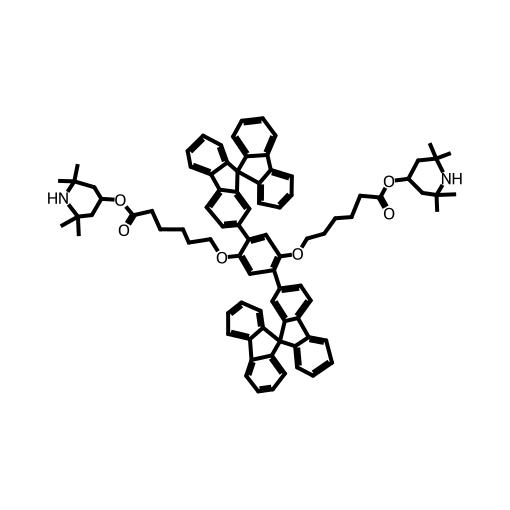 CC1(C)CC(OC(=O)CCCCCOc2cc(-c3ccc4c(c3)C3(c5ccccc5-c5ccccc53)c3ccccc3-4)c(OCCCCCC(=O)OC3CC(C)(C)NC(C)(C)C3)cc2-c2ccc3c(c2)C2(c4ccccc4-c4ccccc42)c2ccccc2-3)CC(C)(C)N1